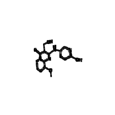 COc1cccn2c(=O)c(CO)c(Nc3ccc(O)nc3)nc12